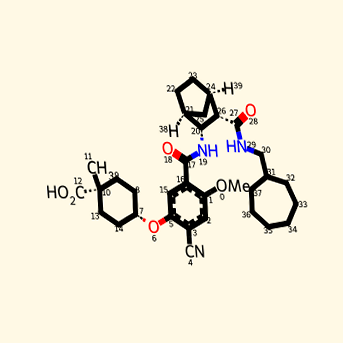 COc1cc(C#N)c(O[C@H]2CC[C@@](C)(C(=O)O)CC2)cc1C(=O)N[C@@H]1[C@H]2CC[C@H](C2)[C@@H]1C(=O)NCC1CCCCCC1